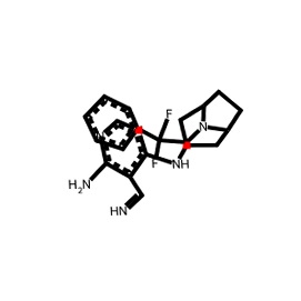 N=Cc1c(N)ncnc1NC1CC2CCC(C1)N2CC(F)(F)c1ccccc1